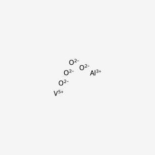 [Al+3].[O-2].[O-2].[O-2].[O-2].[V+5]